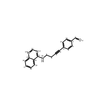 O=Cc1ccc(C#CCCNc2ncnc3ccccc23)cc1